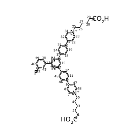 O=C(O)CCCCC[n+]1ccc(-c2ccc(-c3cc(-c4ccc(-c5cc[n+](CCCCCC(=O)O)cc5)cc4)nc(-c4cccc(F)c4)n3)cc2)cc1